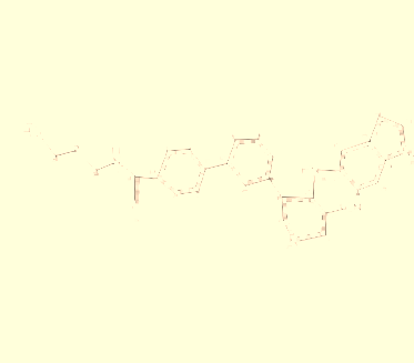 N#Cc1cncc(-c2cccc(-c3ccc(C(=O)NCCCO)cc3)c2)c1Nc1ccc2[nH]ccc2c1